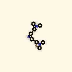 Cn1c2ccc(-c3ccc4c(c3)Sc3ccccc3N4c3ccccc3)cc2c2cc(-c3ccc4c(c3)c3ccccc3n4-c3ccccc3)ccc21